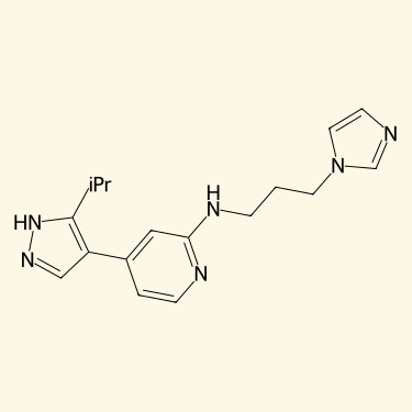 CC(C)c1[nH]ncc1-c1ccnc(NCCCn2ccnc2)c1